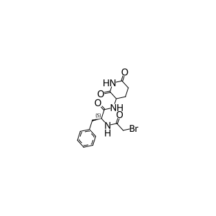 O=C1CCC(NC(=O)[C@H](Cc2ccccc2)NC(=O)CBr)C(=O)N1